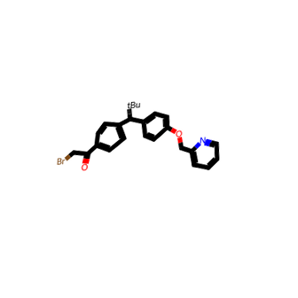 CC(C)(C)C(c1ccc(OCc2ccccn2)cc1)c1ccc(C(=O)CBr)cc1